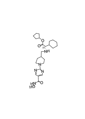 O=C(NO)c1cnc(N2CCC(CN[C@H](C(=O)OC3CCCC3)C3CCCCC3)CC2)nc1